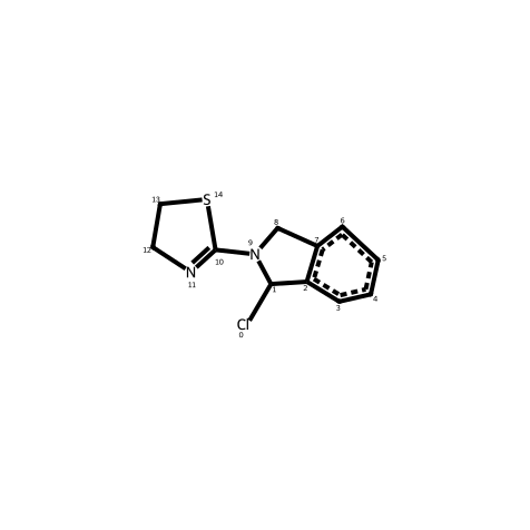 ClC1c2ccccc2CN1C1=NCCS1